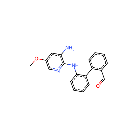 COc1cnc(Nc2ccccc2-c2ccccc2C=O)c(N)c1